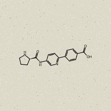 O=C(O)c1ccc(-c2ccc(NC(=O)[C@H]3CCCN3)cn2)cc1